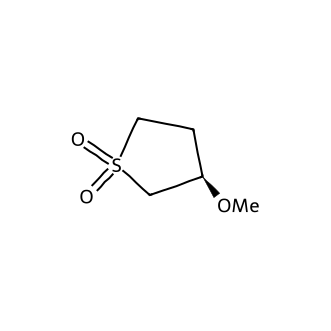 CO[C@@H]1CCS(=O)(=O)C1